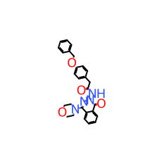 O=C(Cc1ccc(OCc2ccccc2)cc1)Nn1nc(N2CCOCC2)c2ccccc2c1=O